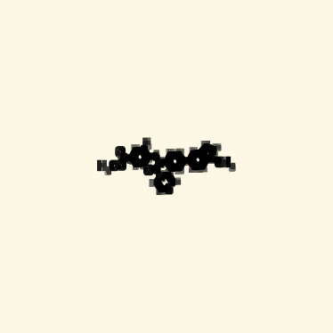 COC(=O)c1ccc(CN(C(=O)N2CCSCC2)c2ccc(-c3ccc4c(ccn4C)c3)cc2)c(F)c1